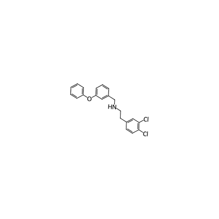 Clc1ccc(CCNCc2cccc(Oc3ccccc3)c2)cc1Cl